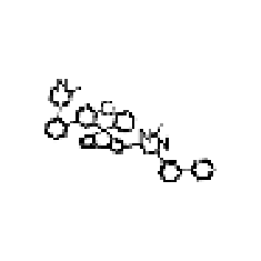 Cc1cc(-c2ccccc2-c2ccc3c(c2)C2(c4ccccc4O3)c3ccccc3-c3ccc(-c4cc(-c5cccc(-c6ccccc6)c5)nc(C)n4)cc32)ccn1